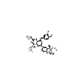 COc1ccc(-c2cc(Cc3ccc(F)c(F)c3)c3nc(N)nc(NCC(F)(F)F)c3n2)cc1S(C)(=O)=O